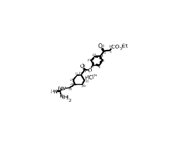 CCOC(=O)CC(=O)c1ccc(OC(=O)C2CCC(CNC(=N)N)CC2)cc1.Cl